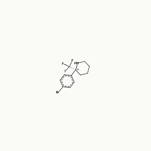 FC(F)(F)[C@@]1(c2ccc(Br)cc2)CCCCN1